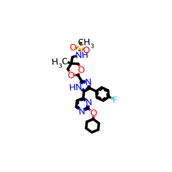 CC1(CNS(C)(=O)=O)COC(c2nc(-c3ccc(F)cc3)c(-c3ccnc(OC4CCCCC4)n3)[nH]2)OC1